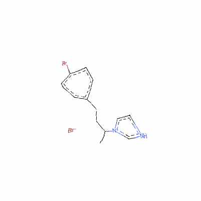 CC(CCc1ccc(Br)cc1)[n+]1cc[nH]c1.[Br-]